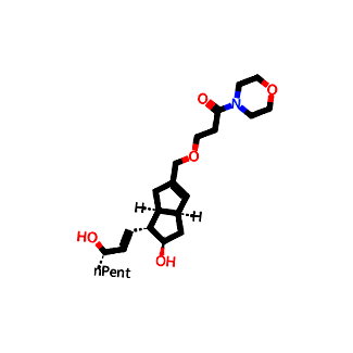 CCCCC[C@H](O)/C=C/[C@@H]1[C@H]2CC(COCCC(=O)N3CCOCC3)=C[C@H]2C[C@H]1O